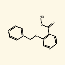 O=NOC(=O)c1ccncc1OCc1ccccc1